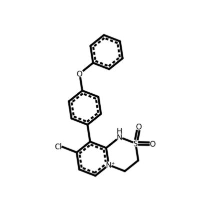 O=S1(=O)CC[n+]2ccc(Cl)c(-c3ccc(Oc4ccccc4)cc3)c2N1